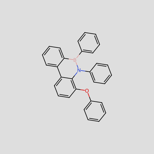 c1ccc(Oc2cccc3c2N(c2ccccc2)B(c2ccccc2)c2ccccc2-3)cc1